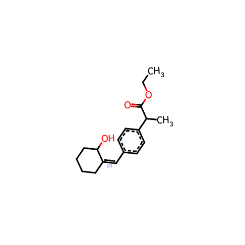 CCOC(=O)C(C)c1ccc(/C=C2/CCCCC2O)cc1